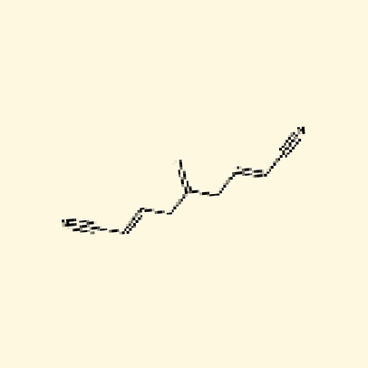 N#C/C=C/CC(=O)C/C=C/C#N